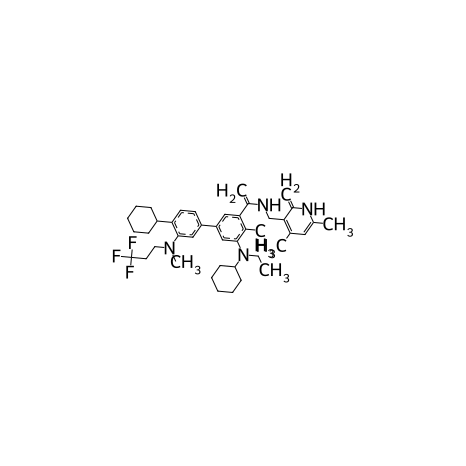 C=C1NC(C)=CC(C)=C1CNC(=C)c1cc(-c2ccc(C3CCCCC3)c(N(C)CCC(F)(F)F)c2)cc(N(CC)C2CCCCC2)c1C